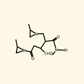 CC1CN1CC(C(=O)N(C)C(C)C)C(C=O)CC(=O)N1CC1C